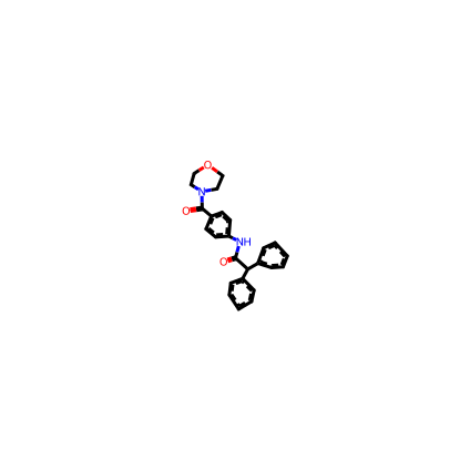 O=C(Nc1ccc(C(=O)N2CCOCC2)cc1)C(c1ccccc1)c1ccccc1